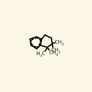 CC1(C)CCc2c[c]ccc2C1(C)C